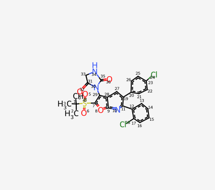 CC(C)(C)S(=O)(=O)c1oc2nc(-c3ccccc3Cl)c(-c3ccc(Cl)cc3)cc2c1N1C(=O)CNC1=O